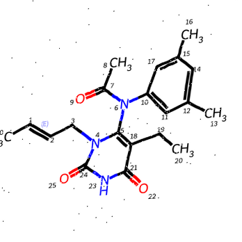 C/C=C/Cn1c(N(C(C)=O)c2cc(C)cc(C)c2)c(CC)c(=O)[nH]c1=O